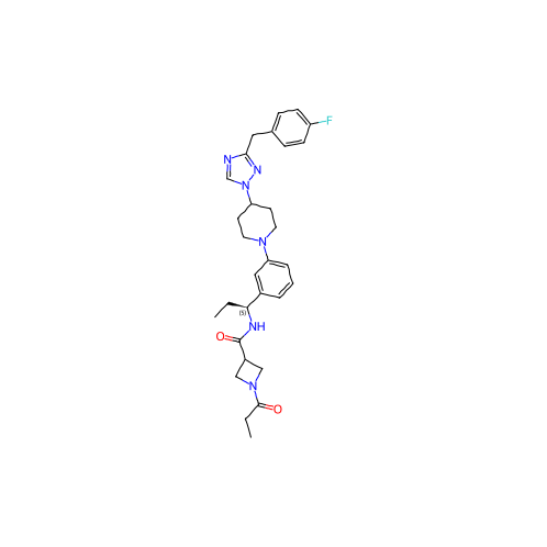 CCC(=O)N1CC(C(=O)N[C@@H](CC)c2cccc(N3CCC(n4cnc(Cc5ccc(F)cc5)n4)CC3)c2)C1